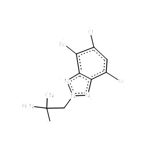 CC(N)(C#N)Cn1nc2c(Br)cc(Cl)c(Br)c2n1